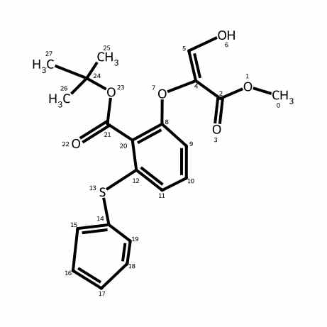 COC(=O)C(=CO)Oc1cccc(Sc2ccccc2)c1C(=O)OC(C)(C)C